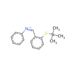 C[Si](C)(C)Sc1ccccc1/C=N\c1ccccc1